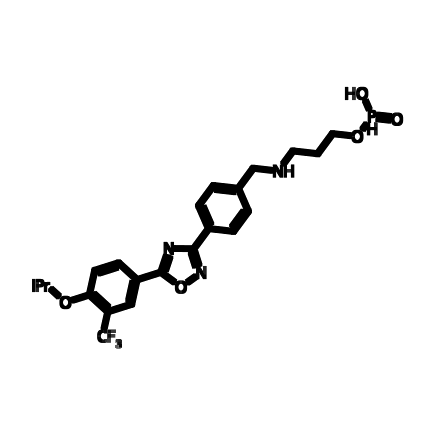 CC(C)Oc1ccc(-c2nc(-c3ccc(CNCCCO[PH](=O)O)cc3)no2)cc1C(F)(F)F